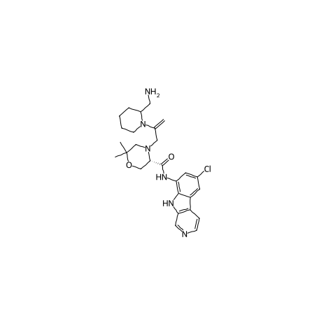 C=C(CN1CC(C)(C)OC[C@H]1C(=O)Nc1cc(Cl)cc2c1[nH]c1cnccc12)N1CCCCC1CN